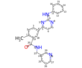 Cc1ccc(-c2ccnc(Nc3ccccc3)n2)cc1C(=O)NCc1cccnc1